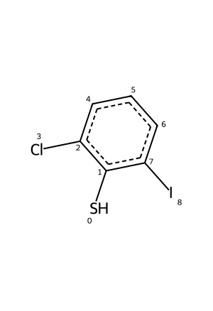 Sc1c(Cl)cccc1I